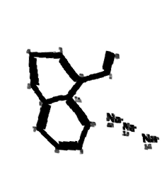 C=Cc1cccc2ccccc12.[Na].[Na].[Na]